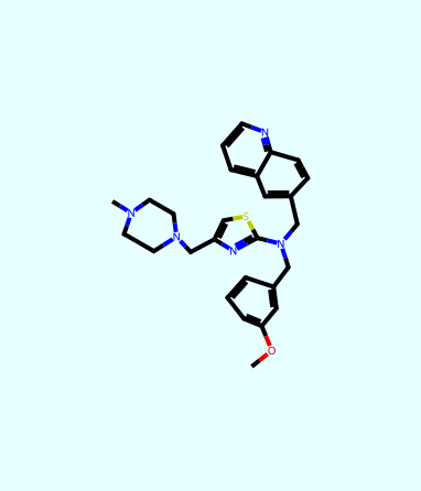 COc1cccc(CN(Cc2ccc3ncccc3c2)c2nc(CN3CCN(C)CC3)cs2)c1